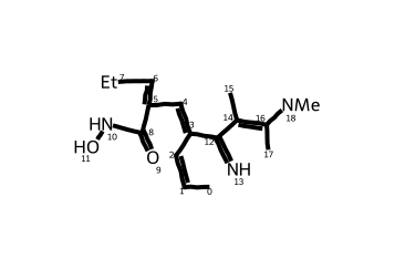 C\C=C/C(=C\C(=C\CC)C(=O)NO)C(=N)/C(C)=C(\C)NC